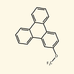 FC(F)(F)Oc1ccc2c3ccccc3c3ccccc3c2c1